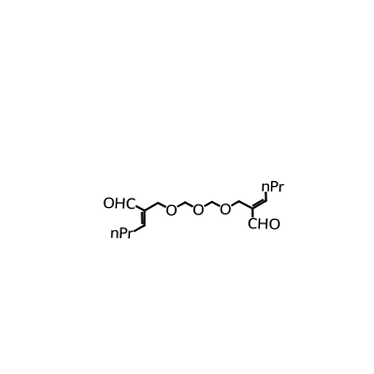 CCCC=C(C=O)COCOCOCC(C=O)=CCCC